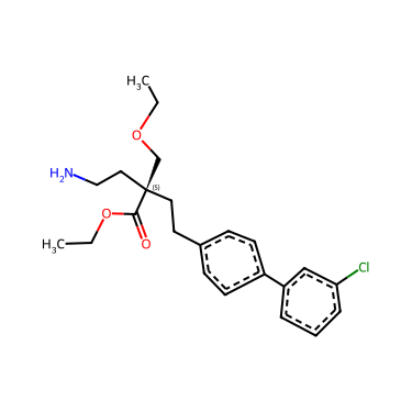 CCOC[C@@](CCN)(CCc1ccc(-c2cccc(Cl)c2)cc1)C(=O)OCC